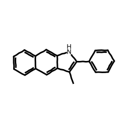 Cc1c(-c2ccccc2)[nH]c2cc3ccccc3cc12